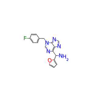 NC(c1ccco1)c1ncn(Cc2ccc(F)cc2)c2ncnc1-2